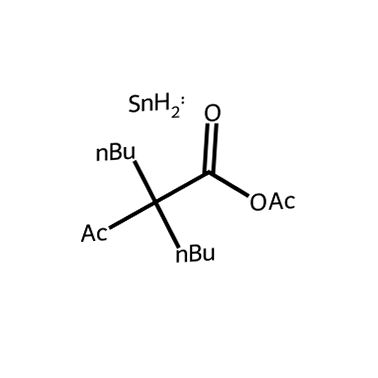 CCCCC(CCCC)(C(C)=O)C(=O)OC(C)=O.[SnH2]